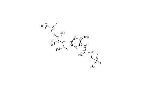 CC(C)[C@@H](Cc1ccc(C(C)(C)C)c(O[C@H](O)CCS(C)(=O)=O)c1)C[C@H](N)[C@@H](O)C[C@@H](C)C(=O)O